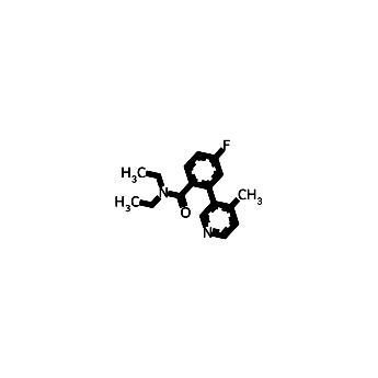 CCN(CC)C(=O)c1ccc(F)cc1-c1cnccc1C